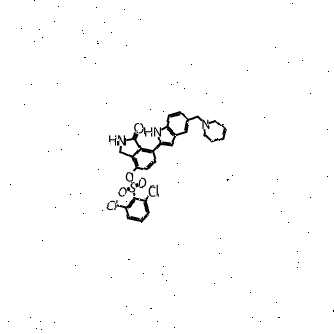 O=C1NCc2c(OS(=O)(=O)c3c(Cl)cccc3Cl)ccc(-c3cc4cc(CN5CCCCC5)ccc4[nH]3)c21